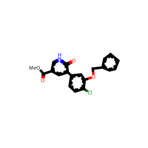 COC(=O)c1c[nH]c(=O)c(-c2ccc(Cl)c(OCc3ccccc3)c2)c1